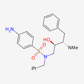 CN[C@@H](Cc1ccccc1)[C@H](O)CN(CC(C)C)S(=O)(=O)c1ccc(N)cc1